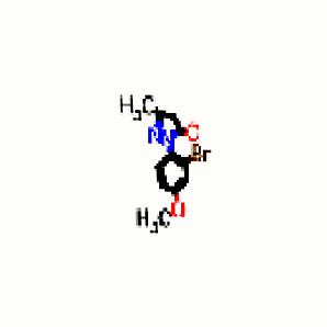 COc1ccc(N2N=C(C)CC2=O)c(Br)c1